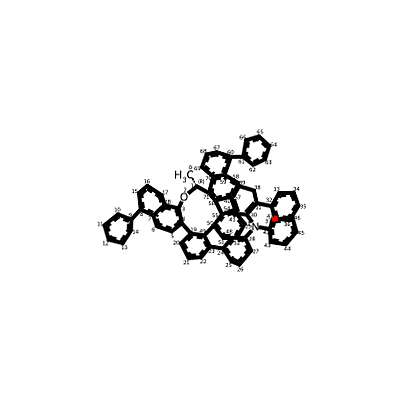 C[C@H]1Oc2c(ccc3c(-c4ccccc4)cccc23)-c2cccc(-c3cccc(N(C4=C(c5ccccc5)CCC=C4)c4ccccc4)c3)c2-c2ccccc2-c2ccc3c(-c4ccccc4)cccc3c21